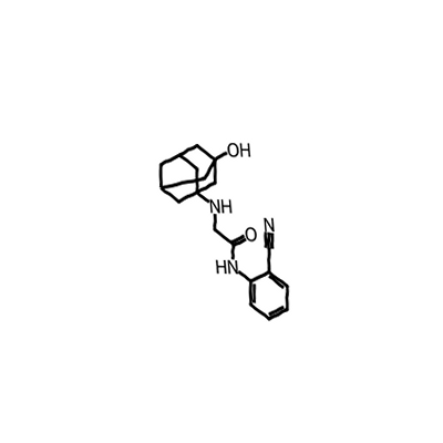 N#Cc1ccccc1NC(=O)CNC12CC3CC(CC(O)(C3)C1)C2